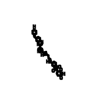 N=C/C(=C\NC1CC(CCCNc2ccc3c(c2)C(=O)N(C2CCC(=O)NC2=O)C3=O)C1)c1cnc2ccc(CN3CCNCC3)cc2n1